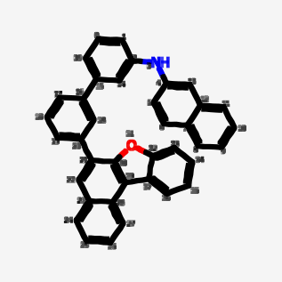 c1cc(Nc2ccc3ccccc3c2)cc(-c2cccc(-c3cc4ccccc4c4c3oc3ccccc34)c2)c1